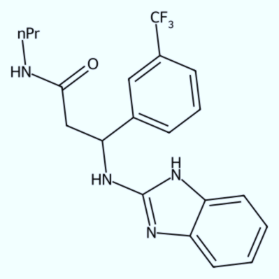 CCCNC(=O)CC(Nc1nc2ccccc2[nH]1)c1cccc(C(F)(F)F)c1